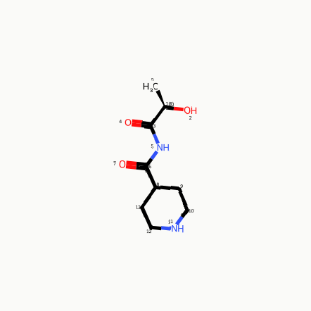 C[C@@H](O)C(=O)NC(=O)C1CCNCC1